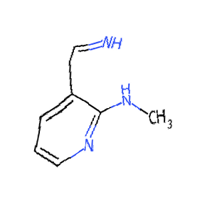 CNc1ncccc1C=N